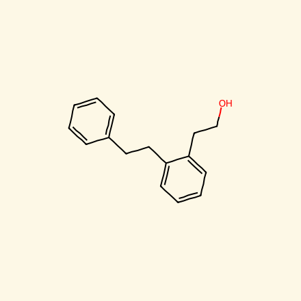 OCCc1ccccc1CCc1ccccc1